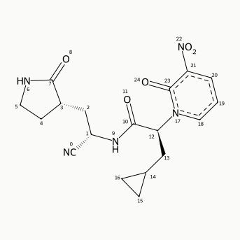 N#C[C@H](C[C@@H]1CCNC1=O)NC(=O)[C@H](CC1CC1)n1cccc([N+](=O)[O-])c1=O